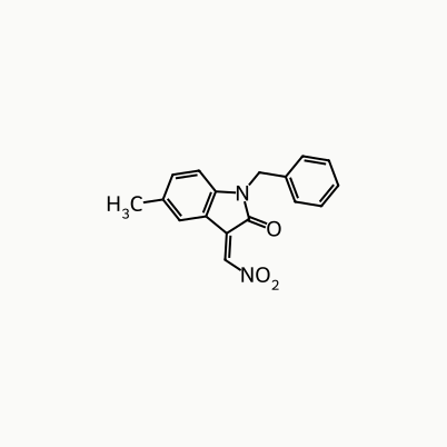 Cc1ccc2c(c1)C(=C[N+](=O)[O-])C(=O)N2Cc1ccccc1